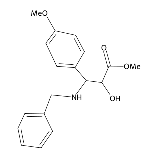 COC(=O)C(O)C(NCc1ccccc1)c1ccc(OC)cc1